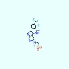 C[C@@H](Nc1ccnc2cnc(N3CCS(=O)(=O)CC3)cc12)c1cccc(C(F)F)c1F